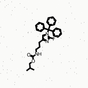 CC(C)COC(=O)NCCCc1cn(C(c2ccccc2)(c2ccccc2)c2ccccc2)c(F)n1